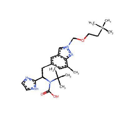 Cc1cc(CC(c2ncc[nH]2)N(C(=O)O)C(C)(C)C)cc2cn(COCC[Si](C)(C)C)nc12